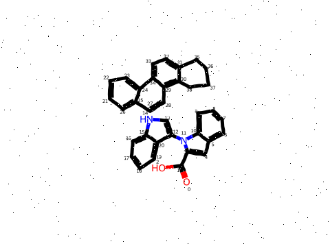 O=C(O)c1cc2ccccc2n1-c1c[nH]c2ccccc12.c1ccc2c(c1)ccc1c3c(ccc12)CCCC3